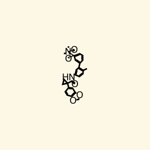 Cc1ccc(NC(=O)C2(c3ccc4c(c3)OCO4)CC2)cc1-c1cccc(S(=O)(=O)N(C)C)c1